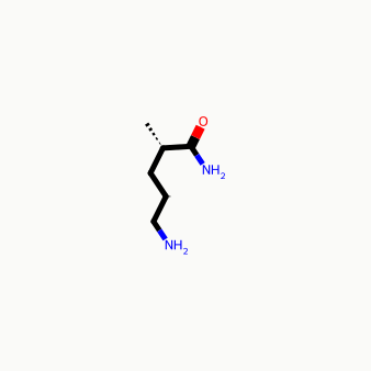 C[C@@H](C[CH]CN)C(N)=O